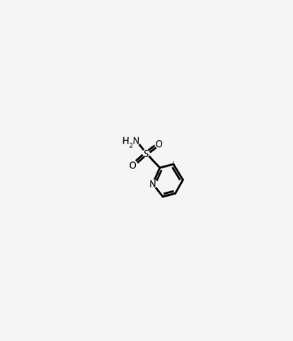 NS(=O)(=O)c1[c]cccn1